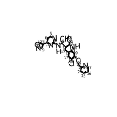 C[C@H](Nc1nccc(-c2cnoc2)n1)c1cc2cc(Cl)c(OCc3ccccn3)cc2[nH]c1=O